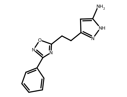 Nc1cc(CCc2nc(-c3ccccc3)no2)n[nH]1